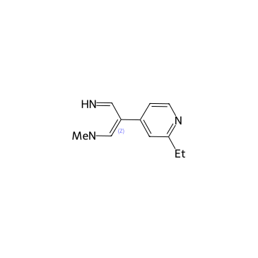 CCc1cc(/C(C=N)=C/NC)ccn1